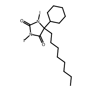 CCCCCCCCC1(C2CCCCC2)C(=O)N(I)C(=O)N1I